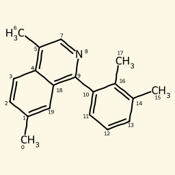 Cc1ccc2c(C)cnc(-c3cccc(C)c3C)c2c1